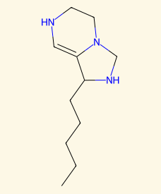 CCCCCC1NCN2CCNC=C12